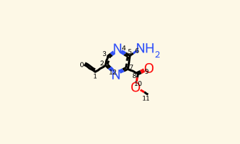 C=Cc1cnc(N)c(C(=O)OC)n1